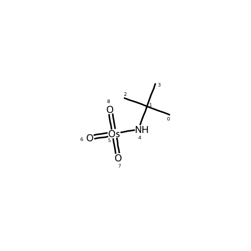 CC(C)(C)[NH][Os](=[O])(=[O])=[O]